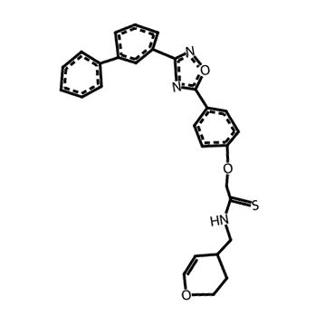 S=C(COc1ccc(-c2nc(-c3cccc(-c4ccccc4)c3)no2)cc1)NCC1C=COCC1